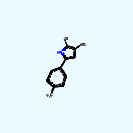 N#Cc1[nH]c(-c2ccc(C(F)(F)F)cc2)cc1[N+](=O)[O-]